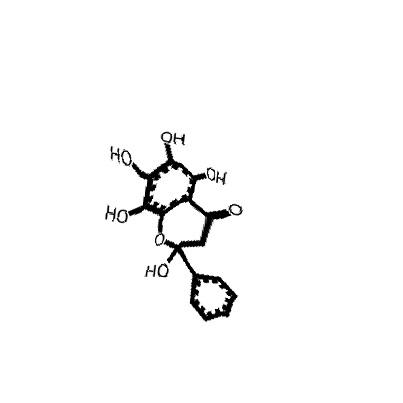 O=C1CC(O)(c2ccccc2)Oc2c(O)c(O)c(O)c(O)c21